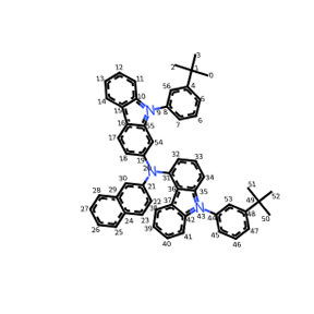 CC(C)(C)c1cccc(-n2c3ccccc3c3ccc(N(c4ccc5ccccc5c4)c4cccc5c4c4ccccc4n5-c4cccc(C(C)(C)C)c4)cc32)c1